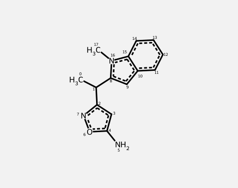 CC(c1cc(N)on1)c1cc2ccccc2n1C